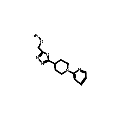 CCCOCc1nnc(C2CCN(c3ccccn3)CC2)o1